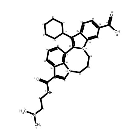 CN(C)CCNC(=O)c1cn2c3c(cccc13)-c1c(C3CCCCC3)c3ccc(C(=O)O)cc3n1CCC2